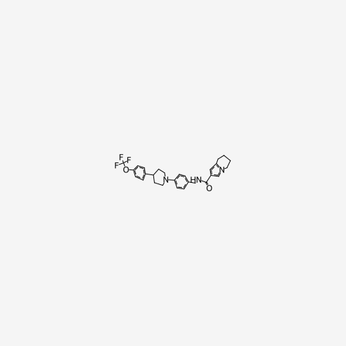 O=C(NCc1ccc(N2CCC(c3ccc(OC(F)(F)F)cc3)CC2)cc1)c1cc2n(c1)CCCC2